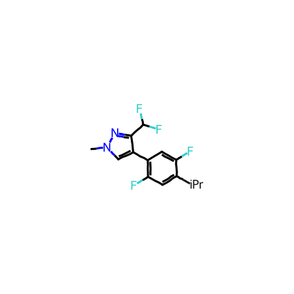 CC(C)c1cc(F)c(-c2cn(C)nc2C(F)F)cc1F